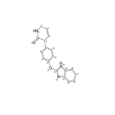 O=C1NCC=CC1c1ccc(Oc2nc3ccccc3[nH]2)cc1